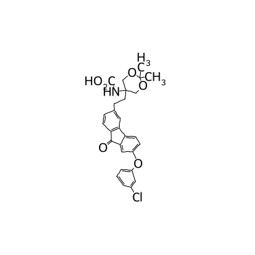 CC1(C)OCC(CCc2ccc3c(c2)-c2ccc(Oc4cccc(Cl)c4)cc2C3=O)(NC(=O)O)CO1